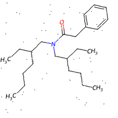 CCCCC(CC)CN(CC(CC)CCCC)C(=O)Cc1ccccc1